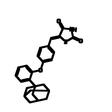 O=C1NC(=O)C(=Cc2ccc(Oc3ccccc3C34CC5CC(CC(C5)C3)C4)cc2)S1